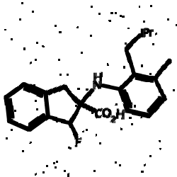 Cc1cccc(NC2(C(=O)O)Cc3ccccc3C2F)c1CC(C)C